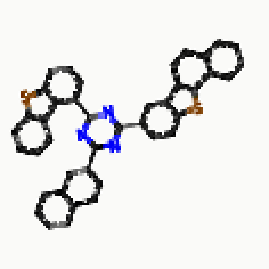 c1ccc2cc(-c3nc(-c4ccc5sc6c7ccccc7ccc6c5c4)nc(-c4cccc5sc6ccccc6c45)n3)ccc2c1